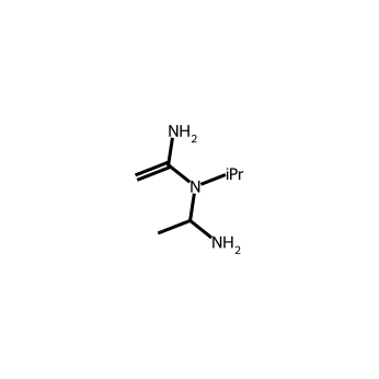 C=C(N)N(C(C)C)C(C)N